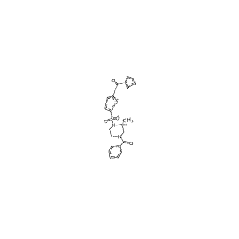 C[C@@H]1CN(C(=O)c2ccccc2)CCN1S(=O)(=O)c1ccc(C(=O)c2ccsc2)s1